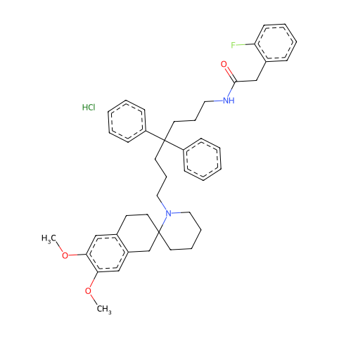 COc1cc2c(cc1OC)CC1(CCCCN1CCCC(CCCNC(=O)Cc1ccccc1F)(c1ccccc1)c1ccccc1)CC2.Cl